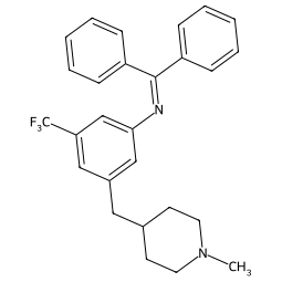 CN1CCC(Cc2cc(N=C(c3ccccc3)c3ccccc3)cc(C(F)(F)F)c2)CC1